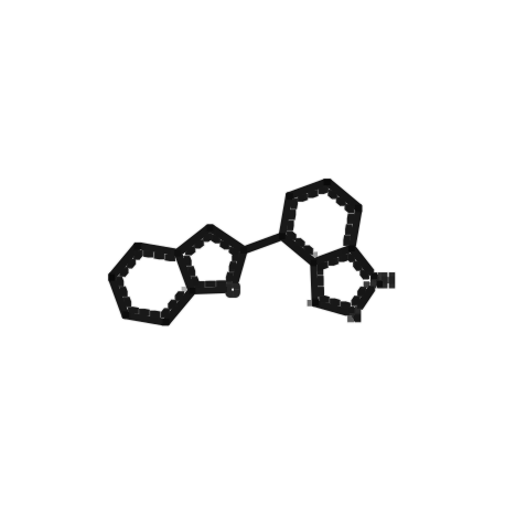 [c]1n[nH]c2cccc(-c3cc4ccccc4o3)c12